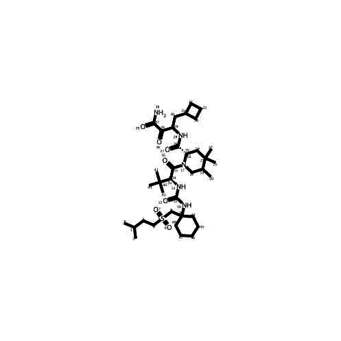 CC(C)CCS(=O)(=O)CC1(NC(=O)N[C@H](C(=O)N2CC(C)C(C)(C)C[C@H]2C(=O)NC(CC2CCC2)C(=O)C(N)=O)C(C)(C)C)CCCCC1